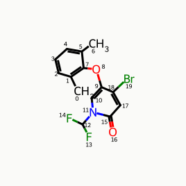 Cc1cccc(C)c1Oc1cn(C(F)F)c(=O)cc1Br